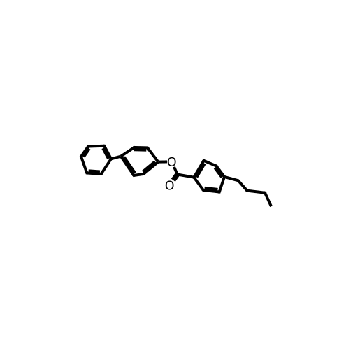 CCCCc1ccc(C(=O)Oc2ccc(-c3ccccc3)cc2)cc1